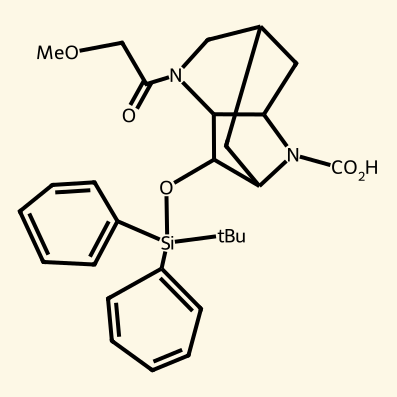 COCC(=O)N1CC2CC3C(O[Si](c4ccccc4)(c4ccccc4)C(C)(C)C)C1C(C2)N3C(=O)O